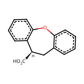 O=C(O)[C@@H]1Cc2ccccc2Oc2ccccc21